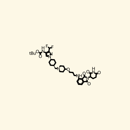 CC(C)(C)OC(=O)Nc1cn([C@H]2CC[C@H](CN3CCC(OCCCNc4cccc5c4C(=O)N(C4CCC(=O)NC4=O)C5=O)CC3)CC2)nc1C(F)F